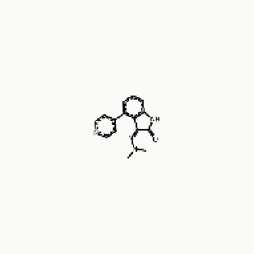 CN(C)N=C1C(=O)Nc2cccc(-c3ccncc3)c21